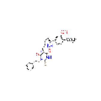 O=C1NC(=S)N(CCc2ccccc2)C(=O)/C1=C/c1ccc(-c2ccc(C(=O)O)c(O)c2)[nH]1